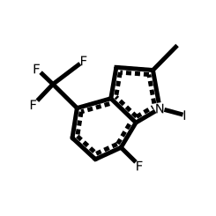 Cc1cc2c(C(F)(F)F)ccc(F)c2n1I